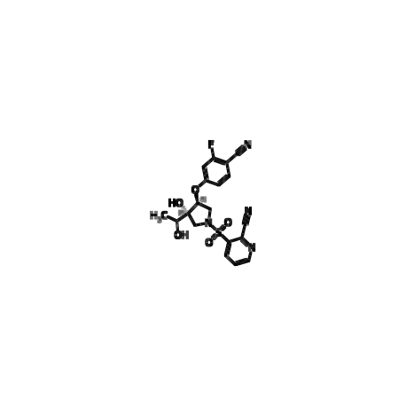 CC(O)[C@]1(O)CN(S(=O)(=O)c2cccnc2C#N)C[C@@H]1Oc1ccc(C#N)c(F)c1